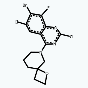 Fc1c(Br)c(Cl)cc2c(N3CCCC4(CCO4)C3)nc(Cl)nc12